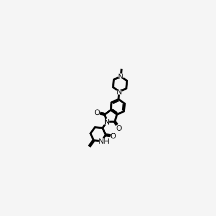 C=C1CCC(N2C(=O)c3ccc(N4CCN(C)CC4)cc3C2=O)C(=O)N1